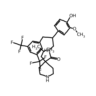 COc1cc(C(CNC(=O)C2(CC(C)C)CCNCC2)Cc2cc(C(F)(F)F)cc(C(F)(F)F)c2)ccc1O